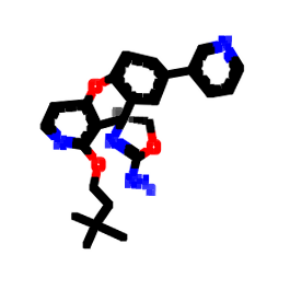 CC(C)(C)CCOc1nccc2c1[C@@]1(COC(N)=N1)c1cc(-c3cccnc3)ccc1O2